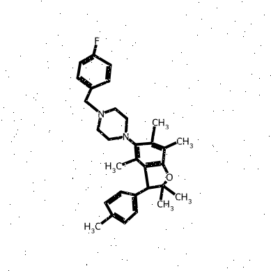 Cc1ccc(C2c3c(C)c(N4CCN(Cc5ccc(F)cc5)CC4)c(C)c(C)c3OC2(C)C)cc1